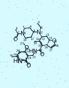 CCN(C1CCN(C(C)=O)CC1)C1CC2OC=CC2C(C(=O)NCc2c(OC)cc(C)[nH]c2=O)=C1C